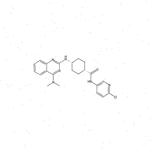 CN(C)c1nc(N[C@H]2CC[C@@H](C(=O)Nc3ccc(Cl)nc3)CC2)nc2ccccc12